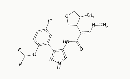 C=N/C=C(/C(=O)Nc1c[nH]nc1-c1cc(Cl)ccc1OC(F)F)C1COCC1C